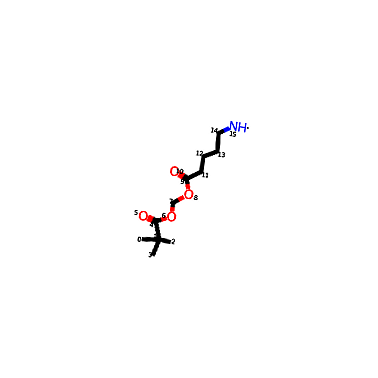 CC(C)(C)C(=O)OCOC(=O)CCCC[NH]